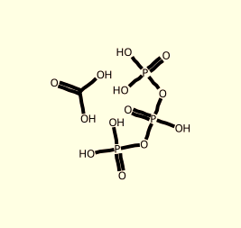 O=C(O)O.O=P(O)(O)OP(=O)(O)OP(=O)(O)O